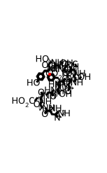 CC(C)[C@H](NC(=O)[C@H](CC(=O)O)NC(=O)[C@H](CO)NC(=O)[C@@H](NC(=O)[C@H](Cc1ccccc1)NC(=O)[C@@H](NC(=O)CNC(=O)[C@H](CCC(=O)O)NC(=O)[C@H](C)NC(=O)[C@@H](N)Cc1c[nH]cn1)[C@@H](C)O)[C@@H](C)O)C(=O)N[C@@H](CO)C(=O)N[C@@H](CO)C(=O)N[C@@H](Cc1ccc(O)cc1)C(=O)O